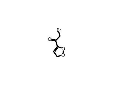 O=C(CBr)C1=CCOO1